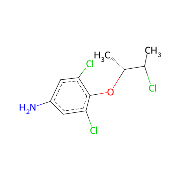 CC(Cl)[C@@H](C)Oc1c(Cl)cc(N)cc1Cl